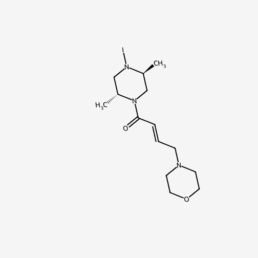 C[C@@H]1CN(I)[C@@H](C)CN1C(=O)/C=C/CN1CCOCC1